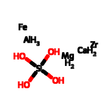 O[Si](O)(O)O.[AlH3].[CaH2].[Fe].[MgH2].[Zr]